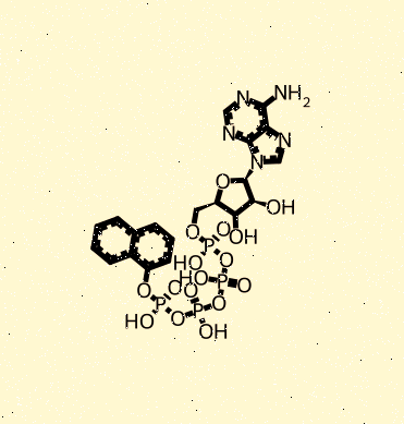 Nc1ncnc2c1ncn2[C@@H]1O[C@H](COP(=O)(O)OP(=O)(O)OP(=O)(O)OP(=O)(O)Oc2cccc3ccccc23)C(O)[C@@H]1O